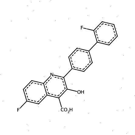 O=C(O)c1c(O)c(-c2ccc(-c3ccccc3F)cc2)nc2ccc(F)cc12